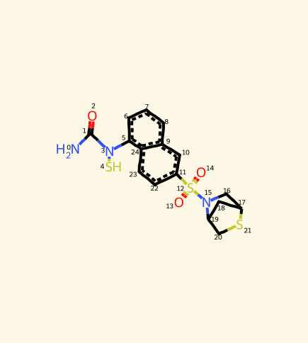 NC(=O)N(S)c1cccc2cc(S(=O)(=O)N3CC4CC3CS4)ccc12